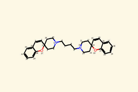 C1=CC2(CCN(CCCCN3CCC4(C=Cc5ccccc5O4)CC3)CC2)Oc2ccccc21